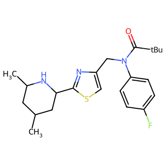 CC1CC(C)NC(c2nc(CN(C(=O)C(C)(C)C)c3ccc(F)cc3)cs2)C1